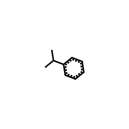 CC(C)c1c[c]ccc1